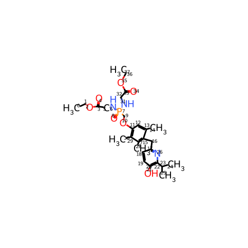 CCOC(=O)CNP(=O)(COc1cc(C)c(Cc2ccc(O)c(C(C)C)n2)c(C)c1C)NCC(=O)OCC